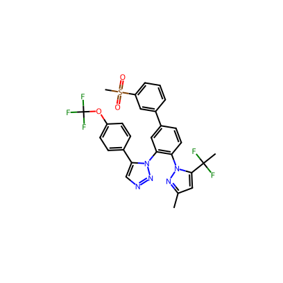 Cc1cc(C(C)(F)F)n(-c2ccc(-c3cccc(S(C)(=O)=O)c3)cc2-n2nncc2-c2ccc(OC(F)(F)F)cc2)n1